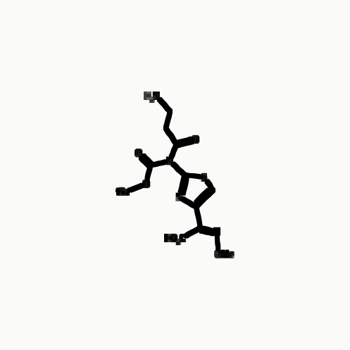 CON=C(C(=O)O)c1csc(N(C(=O)CCN)C(=O)OC(C)(C)C)n1